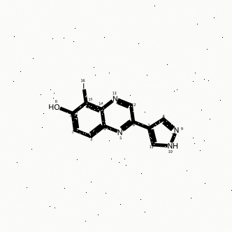 Oc1ccc2nc(-c3cn[nH]c3)cnc2c1I